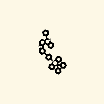 C1=c2sc3ccc(-c4ccc(N5c6ccccc6C(c6ccccc6)(c6ccccc6)c6ccccc65)cc4)cc3c2=C2c3ccccc3N=C(c3ccccc3)C2C1